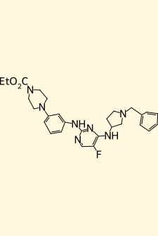 CCOC(=O)N1CCN(c2cccc(Nc3ncc(F)c(NC4CCN(Cc5ccccc5)C4)n3)c2)CC1